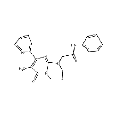 Cc1c(-c2ccccn2)nc2n(c1=O)CCCN2CC(=O)Nc1ccccc1